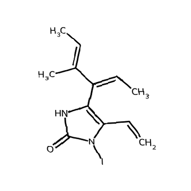 C=Cc1c(C(=C\C)/C(C)=C/C)[nH]c(=O)n1I